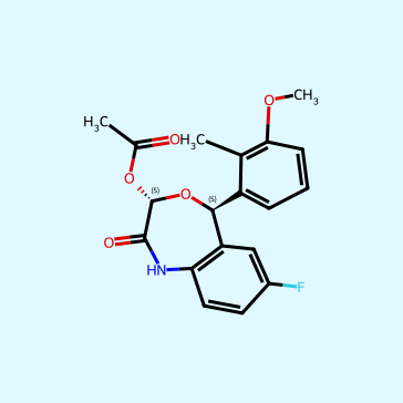 COc1cccc([C@@H]2O[C@@H](OC(C)=O)C(=O)Nc3ccc(F)cc32)c1C